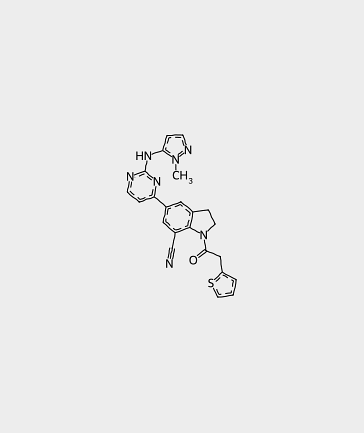 Cn1nccc1Nc1nccc(-c2cc(C#N)c3c(c2)CCN3C(=O)Cc2cccs2)n1